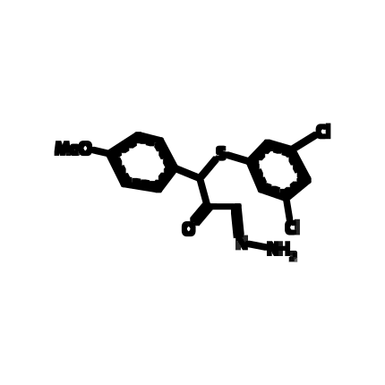 COc1ccc(C(Sc2cc(Cl)cc(Cl)c2)C(=O)C=NN)cc1